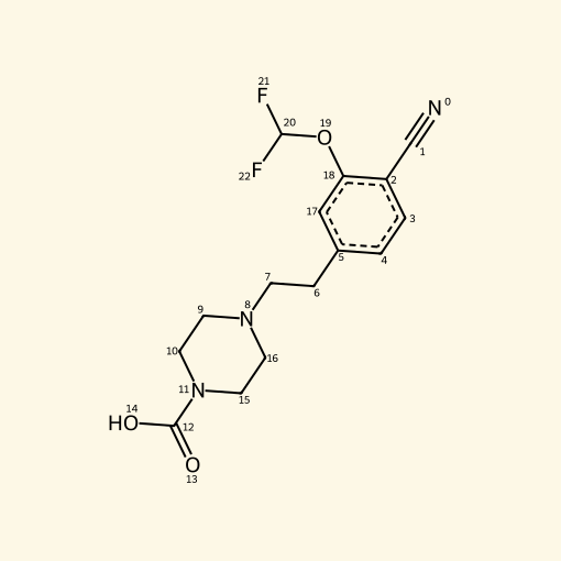 N#Cc1ccc(CCN2CCN(C(=O)O)CC2)cc1OC(F)F